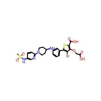 CS(=O)(=O)Nc1ccc(N2CCC(Nc3cccc(-c4sc(C(=O)O)c(OCC(=O)O)c4Br)c3)CC2)nc1